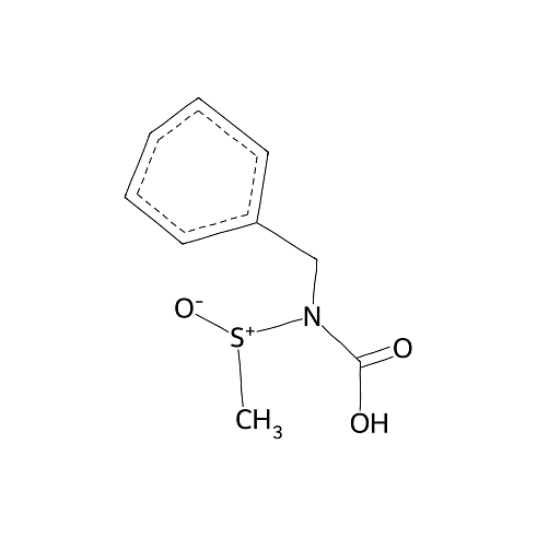 C[S+]([O-])N(Cc1ccccc1)C(=O)O